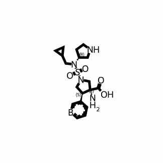 N[C@@]1(C(=O)O)CN(S(=O)(=O)N(CC2CC2)[C@@H]2CCNC2)C[C@@H]1c1cbccc1